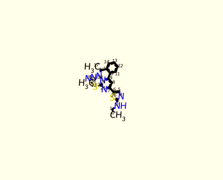 CCNc1ncc(-c2cc(-c3ccccc3C(C)N=[N+]=[N-])nc(SC)n2)s1